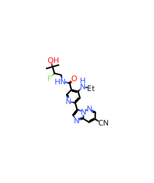 CCNc1cc(-c2cnc3cc(C#N)cnn23)ncc1C(=O)NC[C@@H](F)C(C)(C)O